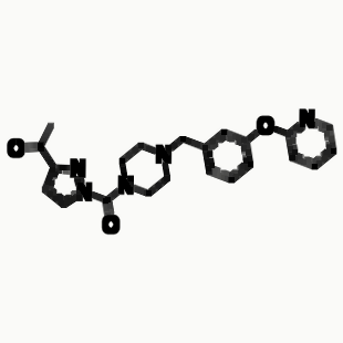 CC(=O)c1ccn(C(=O)N2CCN(Cc3cccc(Oc4ccccn4)c3)CC2)n1